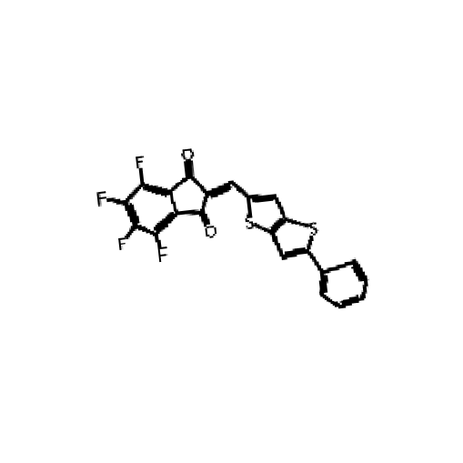 O=C1C(=Cc2cc3sc(-c4ccccc4)cc3s2)C(=O)c2c(F)c(F)c(F)c(F)c21